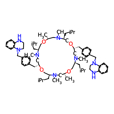 CC(C)C[C@H]1CO[C@H](C)CN(C)[C@@H](CC(C)C)CO[C@H](Cc2ccc(CN3CCNc4ccccc43)cc2)CN(C)[C@@H](CC(C)C)CO[C@H](C)CN(C)[C@@H](CC(C)C)CO[C@H](Cc2ccc(CN3CCNc4ccccc43)cc2)CN1C